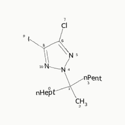 CCCCCCCC(C)(CCCCC)n1nc(Cl)c(I)n1